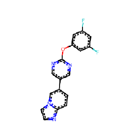 Fc1cc(F)cc(Oc2ncc(-c3ccc4nccn4c3)cn2)c1